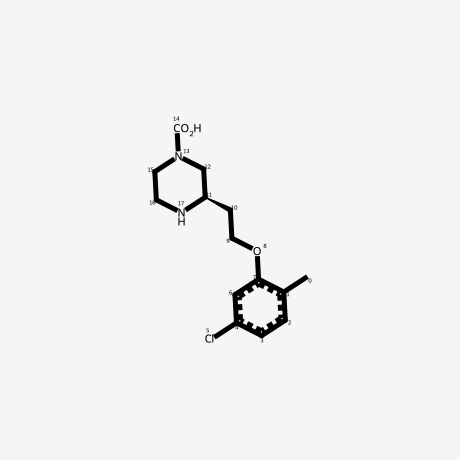 Cc1ccc(Cl)cc1OCC[C@@H]1CN(C(=O)O)CCN1